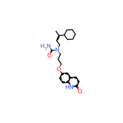 CC(=CCN(CCCOc1ccc2[nH]c(=O)ccc2c1)C(N)=O)C1CCCCC1